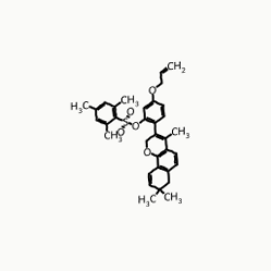 C=CCOc1ccc(C2=C(C)c3ccc4c(c3OC2)C=CC(C)(C)C4)c(OS(=O)(=O)c2c(C)cc(C)cc2C)c1